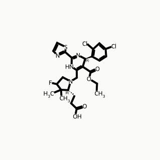 CCOC(=O)C1=C(CN2CC(F)C(C)(C)[C@H]2CCC(=O)O)NC(c2nccs2)=N[C@H]1c1ccc(Cl)cc1Cl